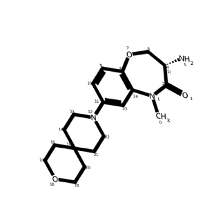 CN1C(=O)[C@@H](N)COc2ccc(N3CCC4(CCOCC4)CC3)cc21